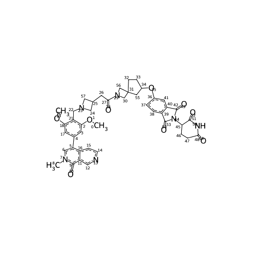 COc1cc(-c2cn(C)c(=O)c3cnccc23)cc(OC)c1CN1CC(CC(=O)N2CC3(CCC(Oc4ccc5c(c4)C(=O)N(C4CCC(=O)NC4=O)C5=O)C3)C2)C1